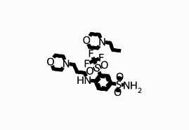 CCCN1CCOCC1.NS(=O)(=O)c1ccc(NCCCN2CCOCC2)c(S(=O)(=O)C(F)(F)F)c1